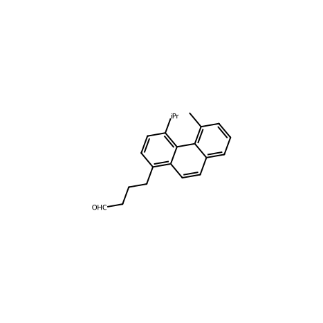 Cc1cccc2ccc3c(CCCC=O)ccc(C(C)C)c3c12